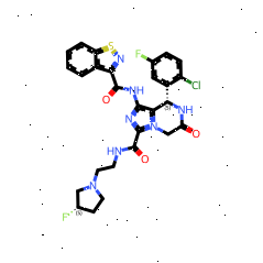 O=C1Cn2c(C(=O)NCCN3CC[C@H](F)C3)nc(NC(=O)c3nsc4ccccc34)c2[C@H](c2cc(F)ccc2Cl)N1